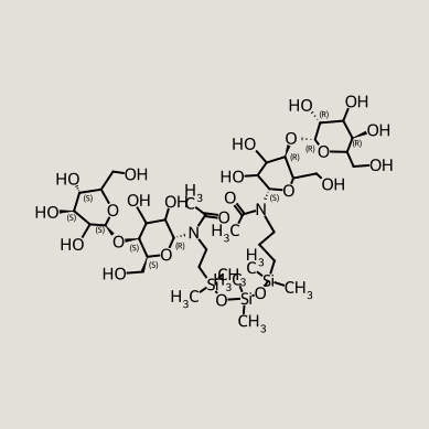 CC(=O)N(CC[Si](C)(C)O[Si](C)(C)O[Si](C)(C)CCCN(C(C)=O)[C@H]1OC(CO)[C@H](O[C@H]2OC(CO)[C@H](O)C(O)[C@H]2O)C(O)C1O)[C@@H]1O[C@@H](CO)[C@@H](O[C@@H]2OC(CO)[C@@H](O)[C@H](O)C2O)C(O)C1O